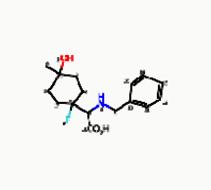 CC1(O)CCC(F)(C(NCc2ccccc2)C(=O)O)CC1